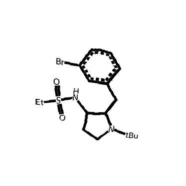 CCS(=O)(=O)NC1CCN(C(C)(C)C)C1Cc1cccc(Br)c1